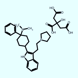 CN(C)C1(c2ccccc2)CCC(c2[nH]c3ccccc3c2CCN2CCCC2)CC1.O=C(O)CC(O)(CC(=O)O)C(=O)O